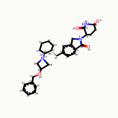 O=C1CCC(N2Cc3cc(C[C@H]4CCCC[C@@H]4N4CC(OCc5ccccc5)C4)ccc3C2=O)C(=O)N1